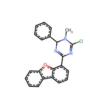 CN1C(Cl)=NC(c2cccc3c2oc2ccccc23)=NC1c1ccccc1